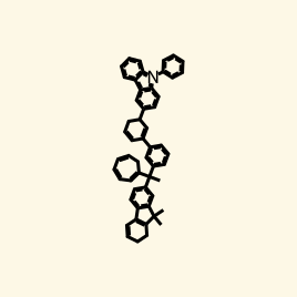 CC1(C)C2=C(C=CCC2)c2ccc(C(C)(C3=CC=CC=CC3)c3cccc(C4=CC(c5ccc6c(c5)c5ccccc5n6-c5ccccc5)CC=C4)c3)cc21